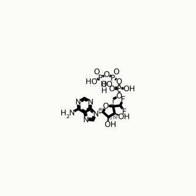 Nc1ncnc2c1ncn2[C@@H]1O[C@@](COP(=O)(O)OP(=O)(O)OP(=O)(O)O)(C(F)F)[C@@H](O)[C@H]1O